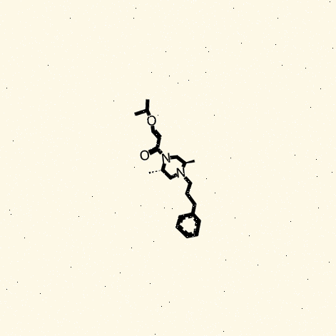 CC(C)OC=CC(=O)N1C[C@@H](C)N(CCCc2ccccc2)C[C@@H]1C